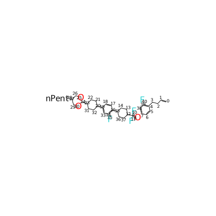 C=CCCc1ccc(OC(F)(F)C2CCC(c3ccc(C4CCC(C5OCC(CCCCC)CO5)CC4)cc3F)CC2)cc1F